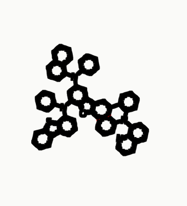 c1ccc(N(c2cc(N(c3ccccc3)c3cccc4c3sc3ccccc34)c3oc4ccc(-c5ccccc5N(c5ccccc5)c5cccc6cccnc56)cc4c3c2)c2cccc3ccccc23)cc1